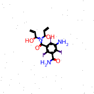 C=CC(O)N(C(=O)c1c(I)c(N)c(I)c(C(N)=O)c1I)C(O)C=C